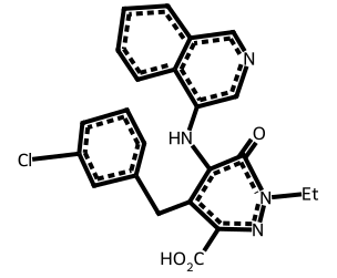 CCn1nc(C(=O)O)c(Cc2cccc(Cl)c2)c(Nc2cncc3ccccc23)c1=O